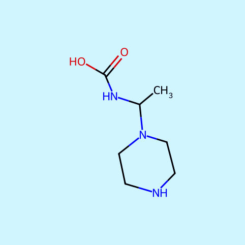 CC(NC(=O)O)N1CCNCC1